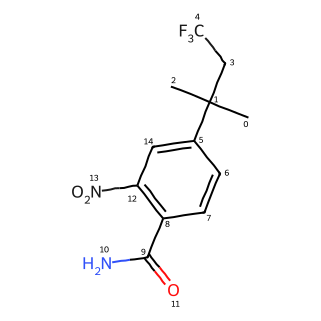 CC(C)(CC(F)(F)F)c1ccc(C(N)=O)c([N+](=O)[O-])c1